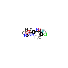 Cc1cc(C2=NO[C@](c3cc(C(F)(F)F)cc(Cl)c3F)(C(F)(F)F)C2)ccc1C(=O)N[C@H]1CCN(CC(F)(F)F)C1=O